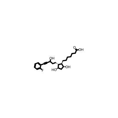 O=C(O)CCCCCC[C@@H]1[C@@H](CCC(O)C#Cc2ccccc2F)[C@H](O)C[C@@H]1O